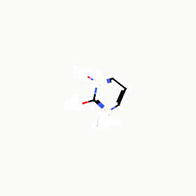 [Fe+3].[O-][n+]1cccnc1O